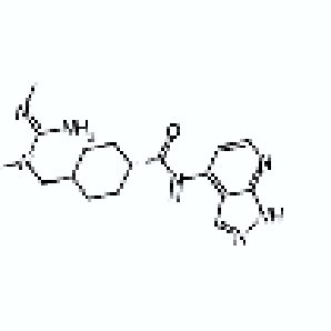 C/N=C(\N)N(C)C[C@H]1CC[C@H](C(=O)Nc2ccnc3[nH]ncc23)CC1